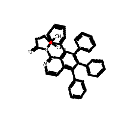 CC1(C)CCC(=O)N1c1nccc2c(-c3ccccc3)c(-c3ccccc3)c(-c3ccccc3)c(-c3ccccc3)c12